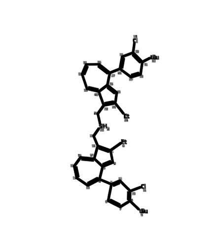 CCc1cc2c(-c3ccc(C(C)(C)C)c(Cl)c3)ccccc-2c1C[SiH2]Cc1c(CC)cc2c(-c3ccc(C(C)(C)C)c(Cl)c3)ccccc1-2